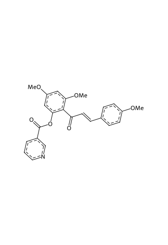 COc1ccc(/C=C/C(=O)c2c(OC)cc(OC)cc2OC(=O)c2cccnc2)cc1